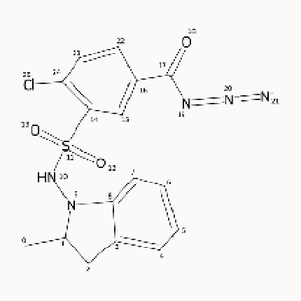 CC1Cc2ccccc2N1NS(=O)(=O)c1cc(C(=O)N=[N+]=[N-])ccc1Cl